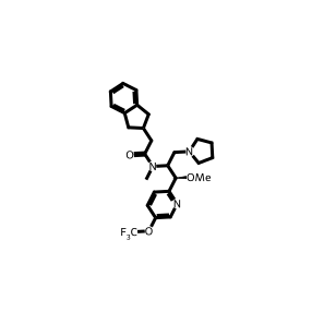 CO[C@@H](c1ccc(OC(F)(F)F)cn1)C(CN1CCCC1)N(C)C(=O)CC1Cc2ccccc2C1